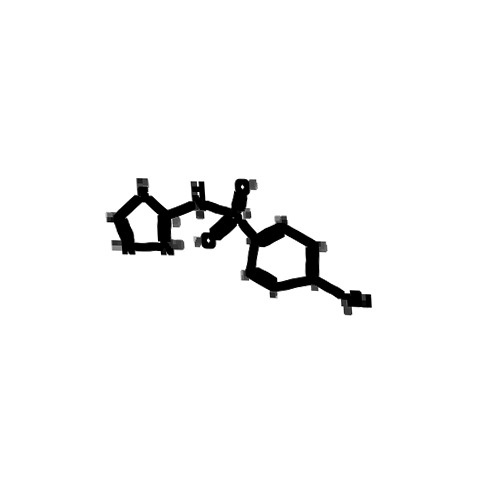 CCCCc1ccc(S(=O)(=O)Nc2nncs2)cc1